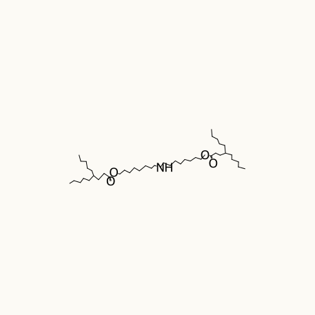 CCCCCC(CCCCC)CCC(=O)OCCCCCCCCNCCCCCCCCOC(=O)CCC(CCCCC)CCCCC